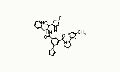 Cc1csc(C2CCCN2C(=O)c2cc(C(=O)N[C@@H](Cc3ccccc3)[C@H](O)[C@H]3C[C@H](F)CN3)cc(-n3cccc3)c2)n1